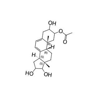 CC(=O)OC1C[C@@]2(C)C(=CC=C3[C@H]2CC[C@]2(C)C(O)C(O)C[C@@H]32)CC1O